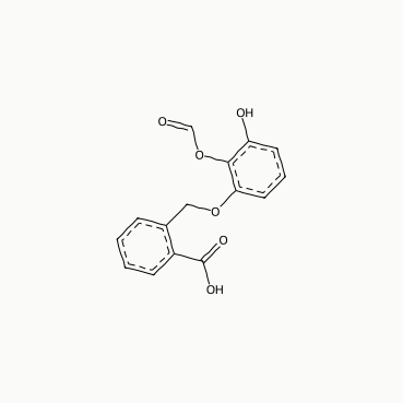 O=COc1c(O)cccc1OCc1ccccc1C(=O)O